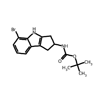 CC(C)(C)OC(=O)NC1Cc2[nH]c3c(Br)cccc3c2C1